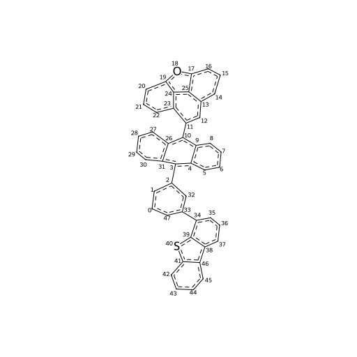 c1cc(-c2c3ccccc3c(-c3cc4cccc5oc6cccc3c6c45)c3ccccc23)cc(-c2cccc3c2sc2ccccc23)c1